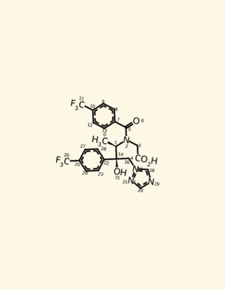 C[C@@H](N(CC(=O)O)C(=O)c1ccc(C(F)(F)F)cc1)[C@](O)(Cn1cncn1)c1ccc(C(F)(F)F)cc1